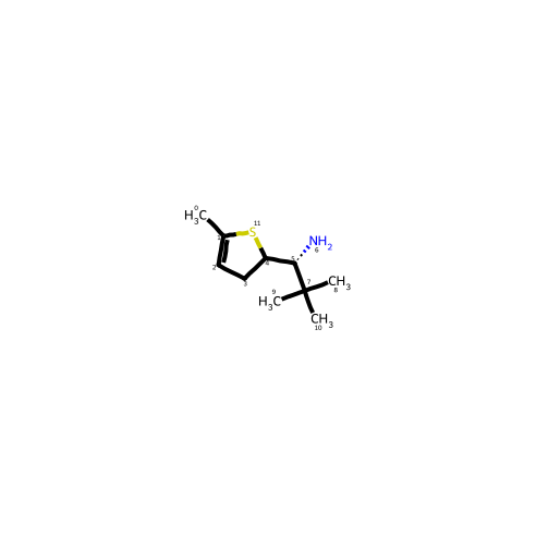 CC1=CCC([C@H](N)C(C)(C)C)S1